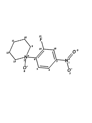 O=[N+]([O-])c1ccc([N+]2([O-])CCCCC2)c(F)c1